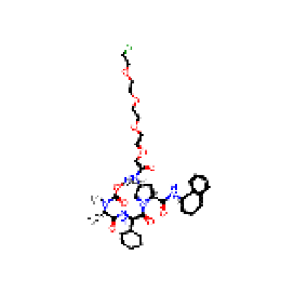 C[C@@H](C(=O)NC(C(=O)N1C[C@@H](NC(=O)COCCOCCOCCOCCCl)C[C@H]1C(=O)N[C@@H]1CCCc2ccccc21)C1CCCCC1)N(C)C(=O)OC(C)(C)C